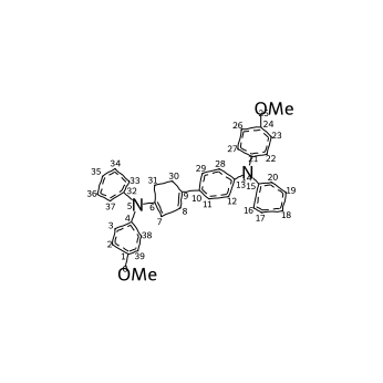 COc1ccc(N(C2=CC=C(c3ccc(N(c4ccccc4)c4ccc(OC)cc4)cc3)CC2)c2ccccc2)cc1